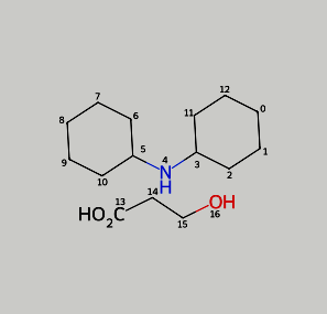 C1CCC(NC2CCCCC2)CC1.O=C(O)CCO